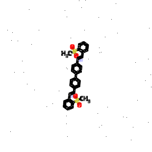 CS(=O)(=O)c1ccccc1/C=C/c1ccc(-c2ccc(/C=C/c3ccccc3S(C)(=O)=O)cc2)cc1